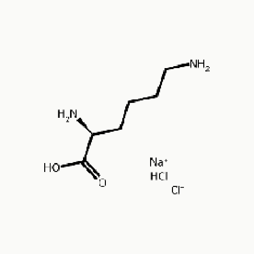 Cl.NCCCC[C@H](N)C(=O)O.[Cl-].[Na+]